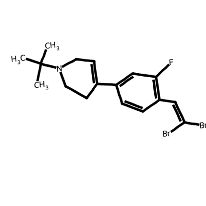 CC(C)(C)N1CC=C(c2ccc(C=C(Br)Br)c(F)c2)CC1